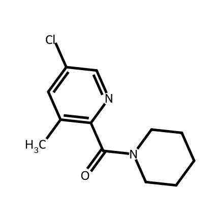 Cc1cc(Cl)cnc1C(=O)N1CCCCC1